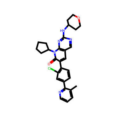 Cc1cccnc1-c1ccc(-c2cc3cnc(NC4CCOCC4)nc3n(C3CCCC3)c2=O)c(Cl)c1